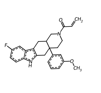 C=CC(=O)N1CCC2(c3cccc(OC)c3)Cc3[nH]c4ccc(F)cc4c3CC2C1